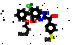 CCSc1ccc(C(O)c2nc3c(O)c(-c4ccccc4OCCOC)c(Cl)cc3[nH]2)cc1